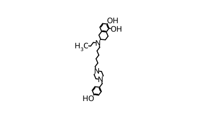 CCCN(CCCCCCN1CCN(Cc2ccc(O)cc2)CC1)C1CCc2c(ccc(O)c2O)C1